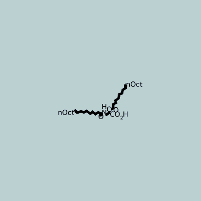 CCCCCCCC/C=C/CCCCCCCC(=O)NCC(OC(=O)CCCCCCC/C=C/CCCCCCCC)C(=O)O